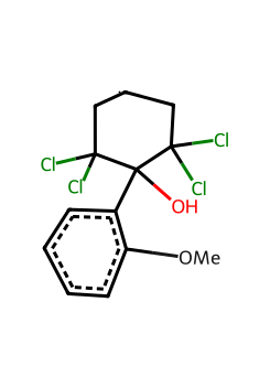 COc1ccccc1C1(O)C(Cl)(Cl)C[CH]CC1(Cl)Cl